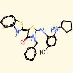 CN1C(=C2SC(=Nc3cc(C#N)ccc3NC3CCCC3)N(Cc3ccccc3)C2=O)Sc2ccccc21